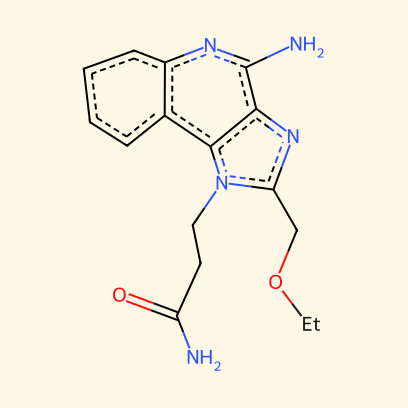 CCOCc1nc2c(N)nc3ccccc3c2n1CCC(N)=O